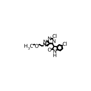 CCOCCn1cc2c(C3C(=O)Nc4ccc(Cl)cc43)nc(Cl)nc2n1